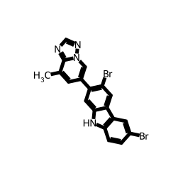 Cc1cc(-c2cc3[nH]c4ccc(Br)cc4c3cc2Br)cn2ncnc12